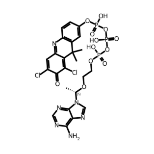 C[C@H](OCCOP(=O)(O)OP(=O)(O)OP(=O)(O)Oc1ccc2c(c1)C(C)(C)C1=C(Cl)C(=O)C(Cl)=CC1=N2)n1cnc2c(N)ncnc21